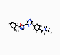 C=C(c1ccc(-c2cncc(-c3nnc(-c4ccccc4C)o3)n2)cc1)N(C)C